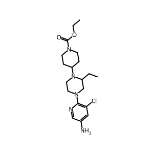 CCOC(=O)N1CCC(N2CCN(c3ncc(N)cc3Cl)CC2CC)CC1